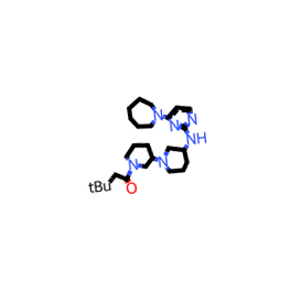 CC(C)(C)CC(=O)N1CCCC(N2CCCC(Nc3nccc(N4CCCCCC4)n3)C2)C1